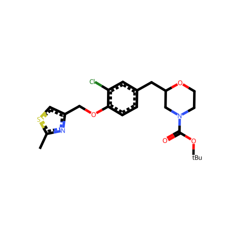 Cc1nc(COc2ccc(CC3CN(C(=O)OC(C)(C)C)CCO3)cc2Cl)cs1